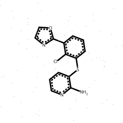 Nc1ncccc1Sc1cccc(-c2ncco2)c1Cl